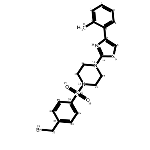 Cc1ccccc1-c1csc(N2CCN(S(=O)(=O)c3ccc(CBr)cc3)CC2)n1